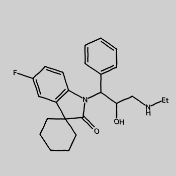 CCNCC(O)C(c1ccccc1)N1C(=O)C2(CCCCC2)c2cc(F)ccc21